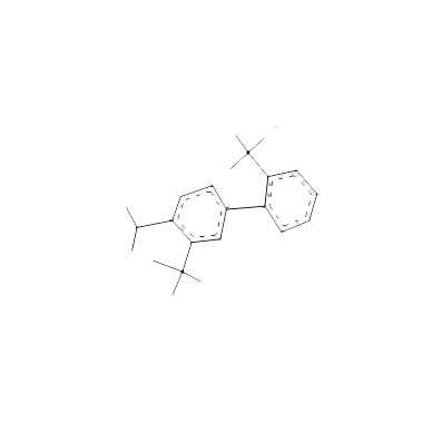 CC(C)c1ccc(-c2ccccc2C(F)(F)F)cc1C(F)(F)F